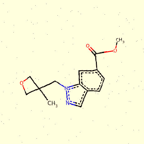 COC(=O)c1ccc2cnn(CC3(C)COC3)c2c1